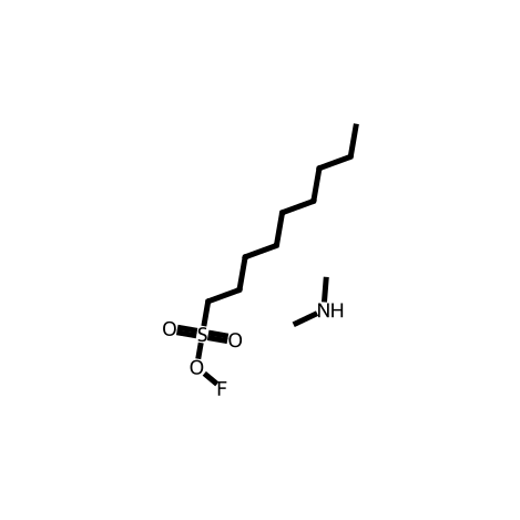 CCCCCCCCCS(=O)(=O)OF.CNC